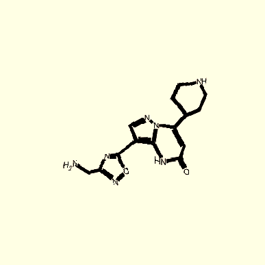 NCc1noc(-c2cnn3c(C4CCNCC4)cc(=O)[nH]c23)n1